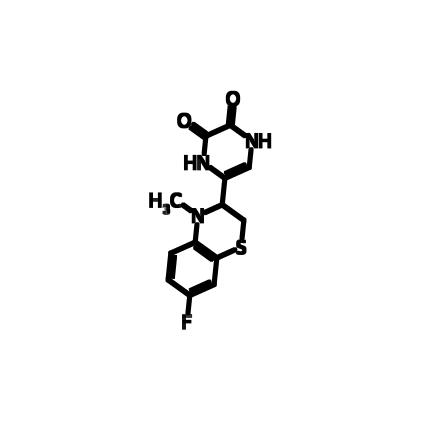 CN1c2ccc(F)cc2SCC1c1c[nH]c(=O)c(=O)[nH]1